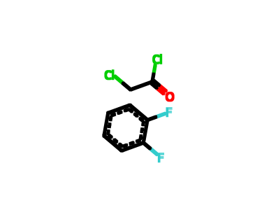 Fc1ccccc1F.O=C(Cl)CCl